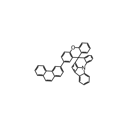 c1ccc2c(c1)Oc1ccc(-c3ccc4ccc5ccccc5c4c3)cc1C21c2ccccc2-n2c3ccccc3c3cccc1c32